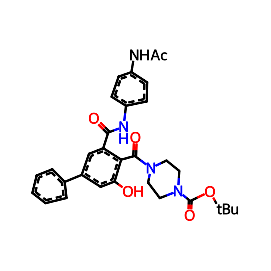 CC(=O)Nc1ccc(NC(=O)c2cc(-c3ccccc3)cc(O)c2C(=O)N2CCN(C(=O)OC(C)(C)C)CC2)cc1